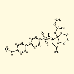 COC(=O)CC1(N(CCO)NS(=O)(=O)c2ccc(-c3ccc(OC)cc3)cc2)CCCCC1